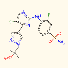 CC(C)(O)Cn1cc(-c2nc(Nc3ccc(S(N)(=O)=O)cc3F)ncc2F)cn1